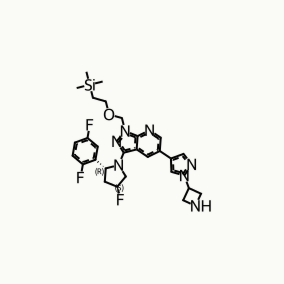 C[Si](C)(C)CCOCn1nc(N2C[C@@H](F)C[C@@H]2c2cc(F)ccc2F)c2cc(-c3cnn(C4CNC4)c3)cnc21